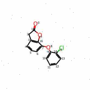 O=C1Cc2cccc(Oc3ccccc3Cl)c2O1